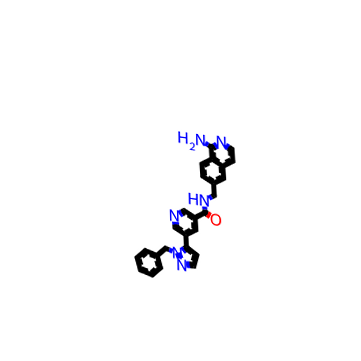 Nc1nccc2cc(CNC(=O)c3cncc(-c4ccnn4Cc4ccccc4)c3)ccc12